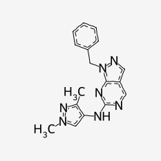 Cc1nn(C)cc1Nc1ncc2cnn(Cc3ccccc3)c2n1